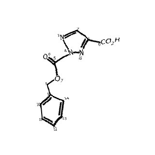 O=C(O)c1cnn(C(=O)OCc2ccccc2)n1